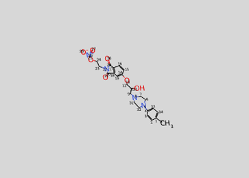 Cc1ccc(N2CCN(CC(O)COc3ccc4c(c3)C(=O)N(CCO[N+](=O)[O-])C4=O)CC2)cc1